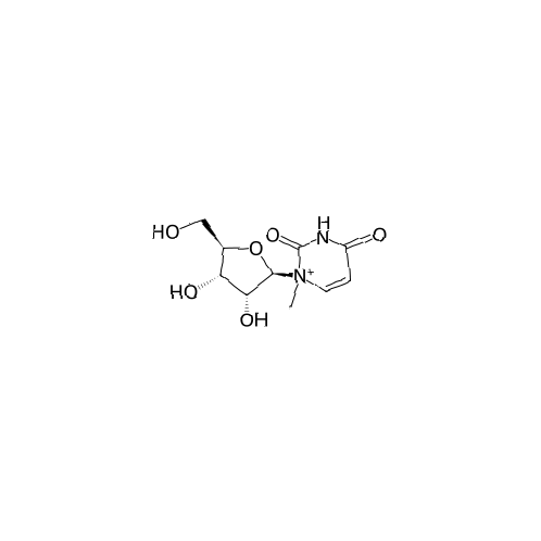 C[N+]1([C@@H]2O[C@H](CO)[C@@H](O)[C@H]2O)C=CC(=O)NC1=O